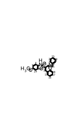 COc1ccc(NS(=O)(=O)C(C#N)=Cc2ccccc2OCc2ccccc2)cc1